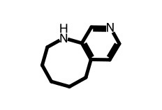 c1cc2c(cn1)NCCCCC2